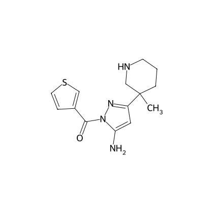 CC1(c2cc(N)n(C(=O)c3ccsc3)n2)CCCNC1